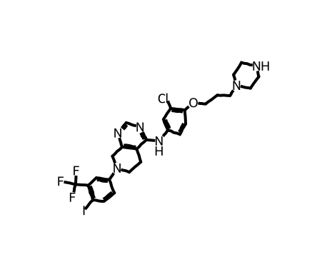 FC(F)(F)c1cc(N2CCc3c(ncnc3Nc3ccc(OCCCN4CCNCC4)c(Cl)c3)C2)ccc1I